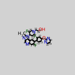 Cc1nc2cnc3cc(F)c(-c4ccc(Oc5ncccn5)cc4F)cc3c2n1[C@H]1CCN(CCO)C[C@@H]1F